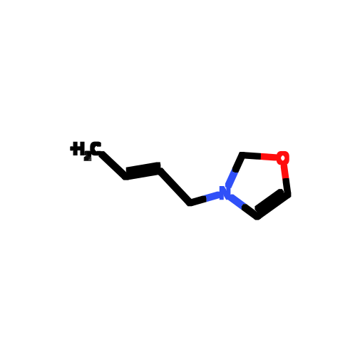 [CH2]C=CCN1C=COC1